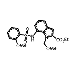 CCOC(=O)c1cc2cccc(NS(=O)(=O)c3ccccc3OC)c2n1COC